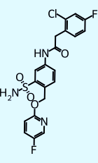 NS(=O)(=O)c1cc(NC(=O)Cc2ccc(F)cc2Cl)ccc1COc1ccc(F)cn1